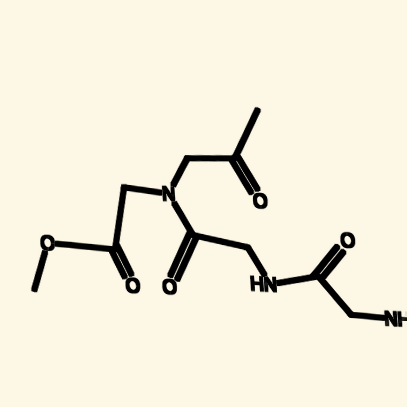 COC(=O)CN(CC(C)=O)C(=O)CNC(=O)CN